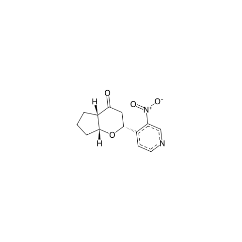 O=C1C[C@H](c2ccncc2[N+](=O)[O-])O[C@@H]2CCC[C@H]12